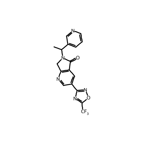 CC(c1cccnc1)N1Cc2ncc(-c3noc(C(F)(F)F)n3)cc2C1=O